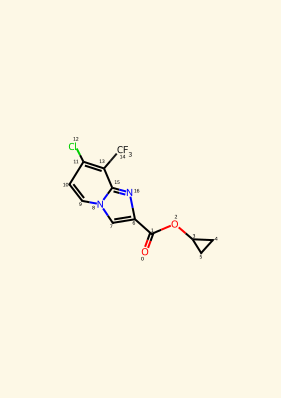 O=C(OC1CC1)c1cn2ccc(Cl)c(C(F)(F)F)c2n1